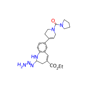 CCOC(=O)C1=Cc2cc(C3=CCN(C(=O)N4CCCC4)CC3)ccc2NC(N=NN)C1